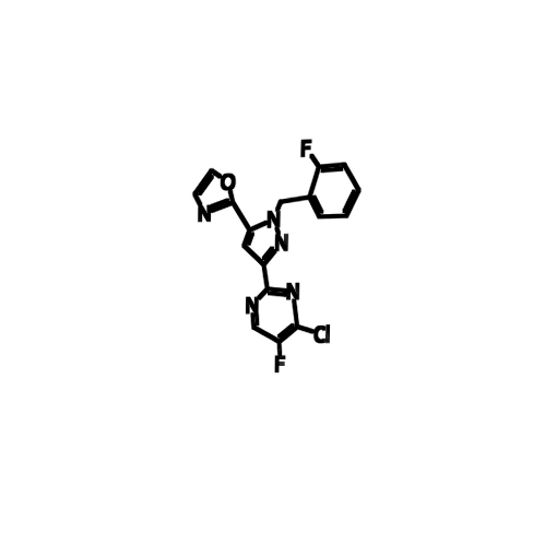 Fc1ccccc1Cn1nc(-c2ncc(F)c(Cl)n2)cc1-c1ncco1